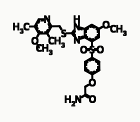 COc1cc(S(=O)(=O)c2ccc(OCC(N)=O)cc2)c2nc(SCc3ncc(C)c(OC)c3C)[nH]c2c1